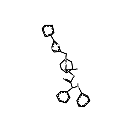 O=C(O[C@H]1C[N+]2(Cc3csc(-c4ccccc4)n3)CCC1CC2)C(Nc1ccccc1)c1ccccc1